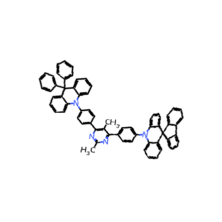 Cc1nc(-c2ccc(N3c4ccccc4C(c4ccccc4)(c4ccccc4)c4ccccc43)cc2)c(C)c(-c2ccc(N3c4ccccc4C4(c5ccccc5-c5ccccc54)c4ccccc43)cc2)n1